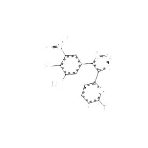 O=[N+]([O-])c1cc(-c2nnsc2-c2cccc(F)n2)cc(O)c1O